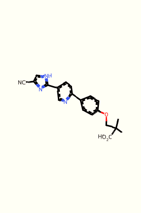 CC(C)(COc1ccc(-c2ccc(-c3nc(C#N)c[nH]3)cn2)cc1)C(=O)O